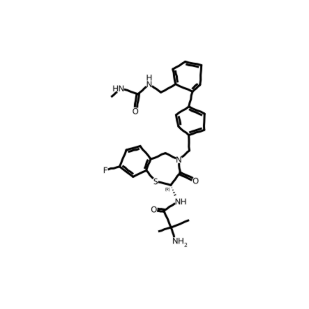 CNC(=O)NCc1ccccc1-c1ccc(CN2Cc3ccc(F)cc3S[C@@H](NC(=O)C(C)(C)N)C2=O)cc1